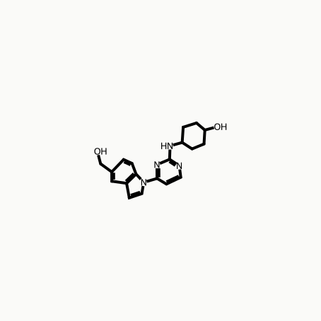 OCc1ccc2c(ccn2-c2ccnc(NC3CCC(O)CC3)n2)c1